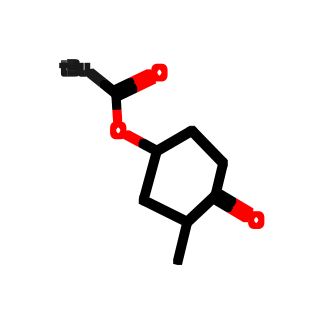 CC1CC(OC(=O)C(C)(C)C)CCC1=O